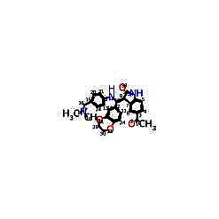 CC(=O)c1ccc2c(c1)/C(=C(/Nc1ccc(CN(C)C)cc1)c1ccc3c(c1)OCCO3)C(=O)N2